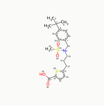 CC(C)(C)c1ccc(CN(CCCc2ccc(C(=O)O)s2)S(C)(=O)=O)cc1